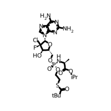 CC(C)OC(=O)[C@H](C)N[P@@](=O)(OCCSC(=O)C(C)(C)C)OC[C@H]1O[C@@H](n2cnc3c(N)nc(N)nc32)[C@@](F)(Cl)[C@@H]1O